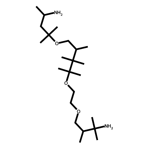 CC(N)CC(C)(C)OCC(C)C(C)(C)C(C)(C)OCCOCC(C)C(C)(C)N